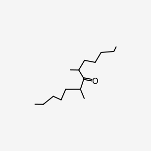 CCCCCC(C)C(=O)C(C)CCCCC